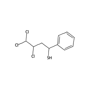 SC(CC(Cl)C(Cl)Cl)c1ccccc1